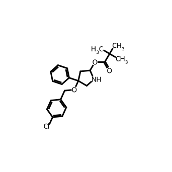 CC(C)(C)C(=O)OC1CC(OCc2ccc(Cl)cc2)(c2ccccc2)CN1